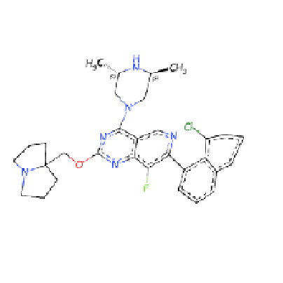 C[C@H]1CN(c2nc(OCC34CCCN3CCC4)nc3c(F)c(-c4cccc5cccc(Cl)c45)ncc23)C[C@H](C)N1